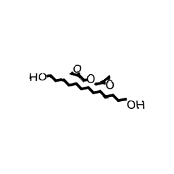 C(OCC1CO1)C1CO1.OCCCCCCCCCCCCCO